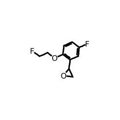 FCCOc1ccc(F)cc1C1CO1